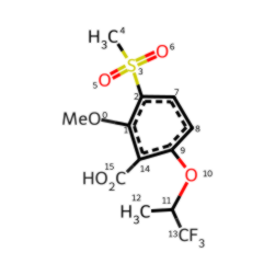 COc1c(S(C)(=O)=O)ccc(OC(C)C(F)(F)F)c1C(=O)O